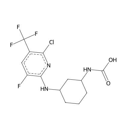 O=C(O)NC1CCCC(Nc2nc(Cl)c(C(F)(F)F)cc2F)C1